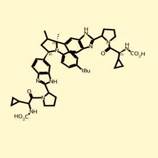 CC1C[C@H](c2ccc3nc(C4CCCN4C(=O)C(NC(=O)O)C4CC4)[nH]c3c2)N(c2ccc(C(C)(C)C)cc2)[C@]1(C)c1ccc2nc(C3CCCN3C(=O)[C@@H](NC(=O)O)C3CC3)[nH]c2c1